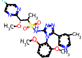 COc1cccc(OC)c1-n1c(NS(=O)(=O)[C@H](C)[C@H](OC)c2ncc(F)cn2)nnc1-c1cncc(C)c1